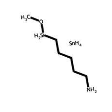 CO[SiH2]CCCCCN.[SnH4]